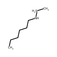 CCCCCCN[SiH2]C